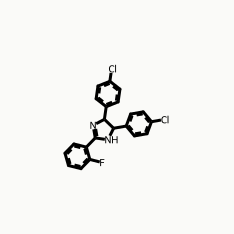 Fc1ccccc1C1=NC(c2ccc(Cl)cc2)C(c2ccc(Cl)cc2)N1